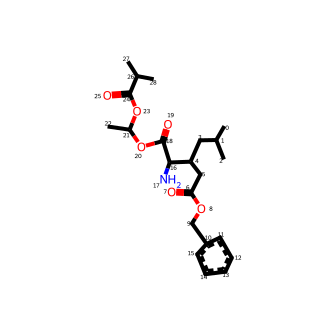 CC(C)CC(CC(=O)OCc1ccccc1)C(N)C(=O)OC(C)OC(=O)C(C)C